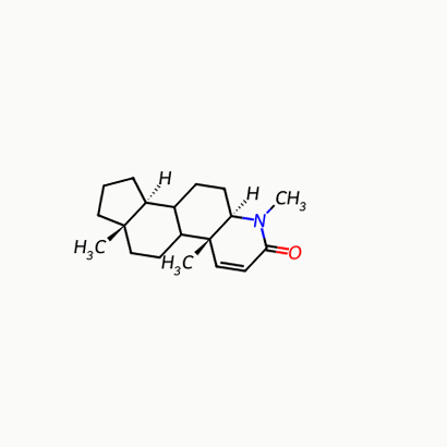 CN1C(=O)C=C[C@]2(C)C3CC[C@]4(C)CCC[C@H]4C3CC[C@@H]12